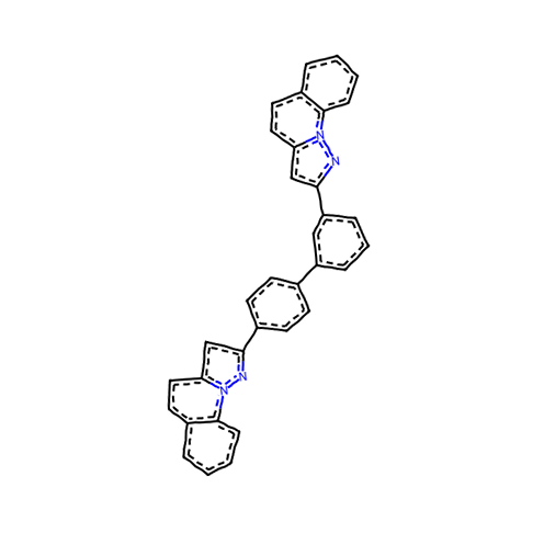 c1cc(-c2ccc(-c3cc4ccc5ccccc5n4n3)cc2)cc(-c2cc3ccc4ccccc4n3n2)c1